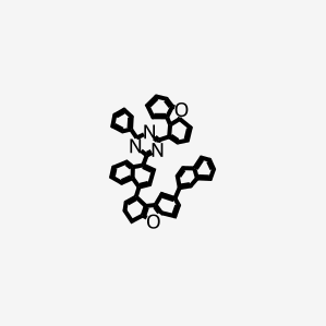 C1=CC2Oc3ccccc3C2C(c2nc(-c3ccccc3)nc(-c3ccc(C4=CCCc5oc6ccc(-c7ccc8ccccc8c7)cc6c54)c4ccccc34)n2)=C1